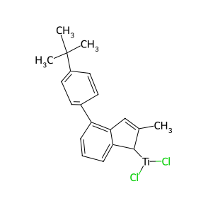 CC1=Cc2c(-c3ccc(C(C)(C)C)cc3)cccc2[CH]1[Ti]([Cl])[Cl]